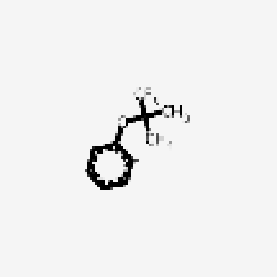 CC(C)(Oc1[c]cccc1)C(F)(F)F